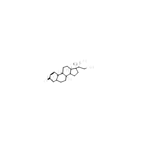 C[C@]12C=CC(=O)CC1CC[C@@H]1[C@@H]2CC[C@@]2(C)[C@H]1CC[C@]2(O)[C@H](O)CO